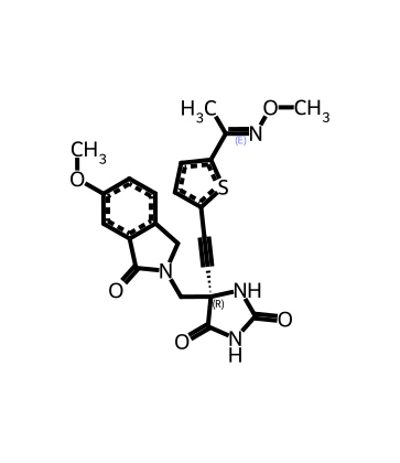 CO/N=C(\C)c1ccc(C#C[C@]2(CN3Cc4ccc(OC)cc4C3=O)NC(=O)NC2=O)s1